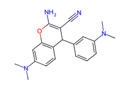 CN(C)c1cccc(C2C(C#N)=C(N)Oc3cc(N(C)C)ccc32)c1